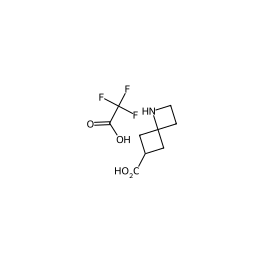 O=C(O)C(F)(F)F.O=C(O)C1CC2(CCN2)C1